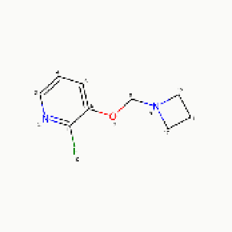 Fc1ncccc1OCN1CCC1